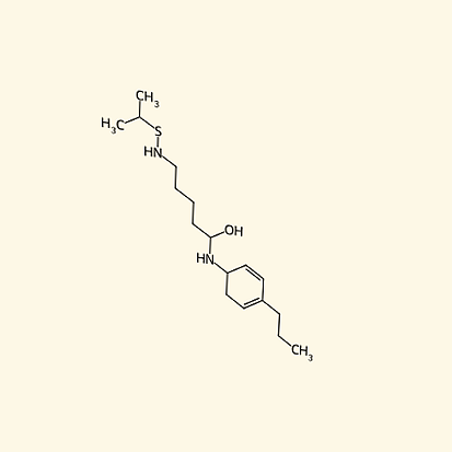 CCCC1=CCC(NC(O)CCCCNSC(C)C)C=C1